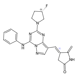 C=C1NC(=O)C/C1=C\c1cnn2c(Nc3ccccc3)nc(N3CC[C@H](F)C3)nc12